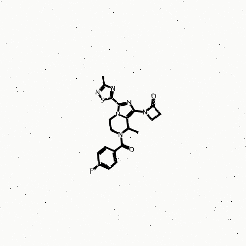 Cc1nsc(-c2nc(N3CCC3=O)c3n2CCN(C(=O)c2ccc(F)cc2)C3C)n1